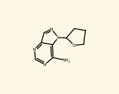 Nc1ncnc2cnn(C3CCCO3)c12